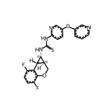 Fc1ccc(F)c2c1OC[C@@H]1[C@@H](NC(=S)Nc3ccc(Oc4cccnc4)cn3)[C@@H]21